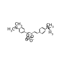 CN(C)c1ccc(C=CC(C=Cc2ccc(N(C)C)cc2)O[Cl+3]([O-])([O-])[O-])cc1